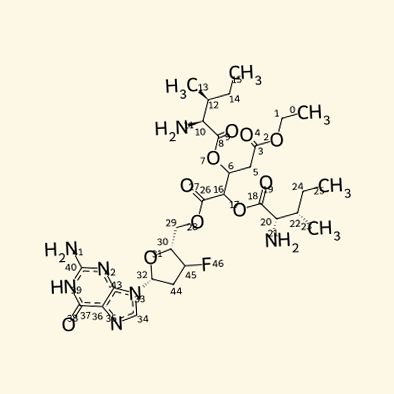 CCOC(=O)CC(OC(=O)[C@@H](N)[C@@H](C)CC)C(OC(=O)[C@@H](N)[C@@H](C)CC)C(=O)OC[C@H]1O[C@@H](n2cnc3c(=O)[nH]c(N)nc32)CC1F